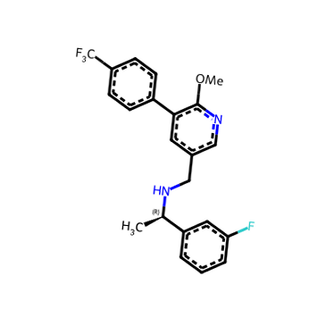 COc1ncc(CN[C@H](C)c2cccc(F)c2)cc1-c1ccc(C(F)(F)F)cc1